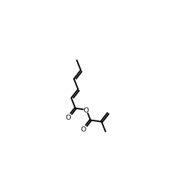 C=C(C)C(=O)OC(=O)/C=C/C=C/C